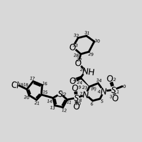 CS(=O)(=O)N1CCN(S(=O)(=O)c2ccc(-c3ccc(Cl)cc3)s2)[C@@H](C(=O)NOC2CCCCO2)C1